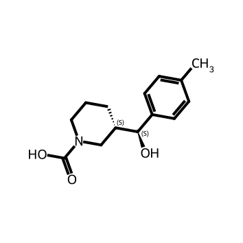 Cc1ccc([C@@H](O)[C@H]2CCCN(C(=O)O)C2)cc1